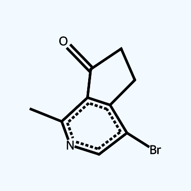 Cc1ncc(Br)c2c1C(=O)CC2